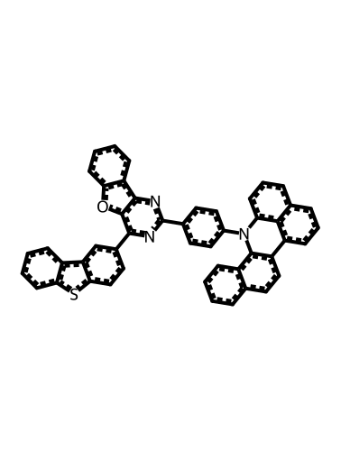 c1ccc2c3c(ccc2c1)-c1cccc2cccc(c12)N3c1ccc(-c2nc(-c3ccc4sc5ccccc5c4c3)c3oc4ccccc4c3n2)cc1